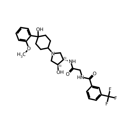 COc1ccccc1C1(O)CCC(N2C[C@H](NC(=O)CNC(=O)c3cccc(C(F)(F)F)c3)[C@@H](O)C2)CC1